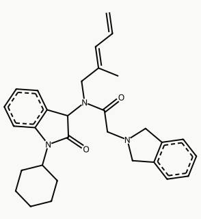 C=C/C=C(\C)CN(C(=O)CN1Cc2ccccc2C1)C1C(=O)N(C2CCCCC2)c2ccccc21